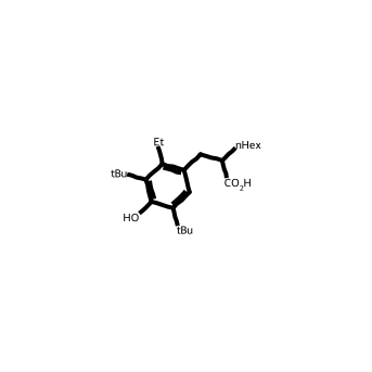 CCCCCCC(Cc1cc(C(C)(C)C)c(O)c(C(C)(C)C)c1CC)C(=O)O